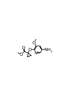 COC(=O)C1(Oc2ncc(N)cc2OC)CC1